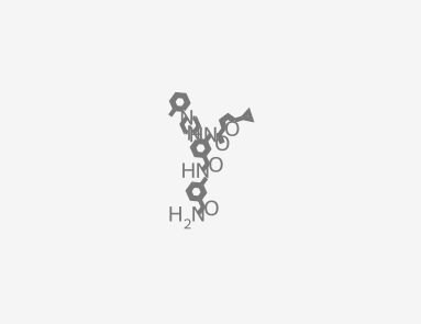 Cc1ccccc1N1CCN(c2ccc(C(=O)NCc3cccc(C(N)=O)c3)cc2NC(=O)c2ccc(C3CC3)o2)CC1